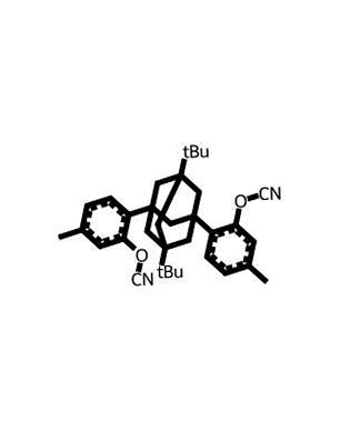 Cc1ccc(C23CC4(c5ccc(C)cc5OC#N)CC(C(C)(C)C)(C2)CC(C(C)(C)C)(C3)C4)c(OC#N)c1